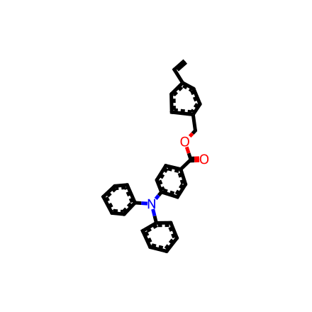 C=Cc1ccc(COC(=O)c2ccc(N(c3ccccc3)c3ccccc3)cc2)cc1